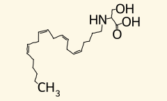 CCCCC/C=C\C/C=C\C/C=C\C/C=C\CCCCNC(CO)C(=O)O